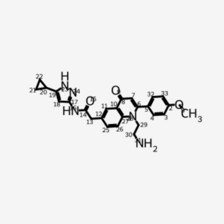 COc1ccc(-c2cc(=O)c3cc(CC(=O)Nc4cc(C5CC5)[nH]n4)ccc3n2CCN)cc1